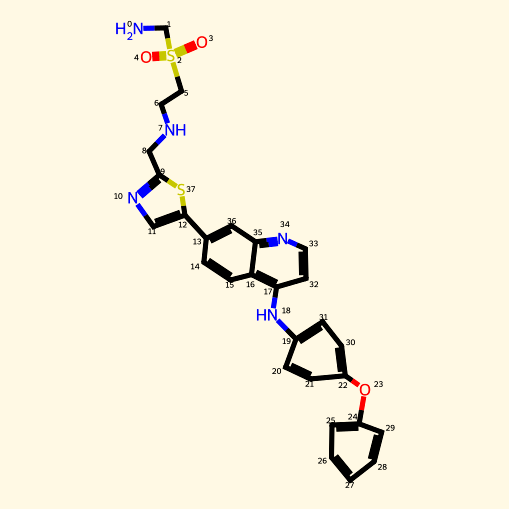 NCS(=O)(=O)CCNCc1ncc(-c2ccc3c(Nc4ccc(Oc5ccccc5)cc4)ccnc3c2)s1